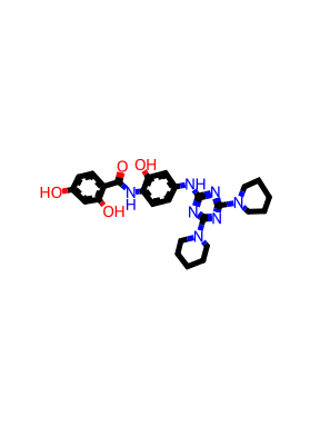 O=C(Nc1ccc(Nc2nc(N3CCCCC3)nc(N3CCCCC3)n2)cc1O)c1ccc(O)cc1O